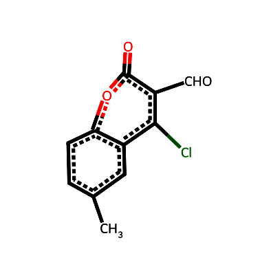 Cc1ccc2oc(=O)c(C=O)c(Cl)c2c1